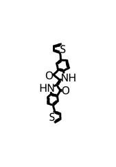 O=C1/C(=C2\Nc3ccc(-c4cccs4)cc3C2=O)Nc2ccc(-c3cccs3)cc21